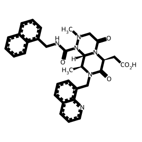 C[C@H]1[C@H]2N(C(=O)CN(C)N2C(=O)NCc2cccc3ccccc23)[C@@H](CC(=O)O)C(=O)N1Cc1cccc2cccnc12